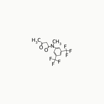 CC(=O)CC(=O)N(C)c1cc(C(F)(F)F)cc(C(F)(F)F)c1